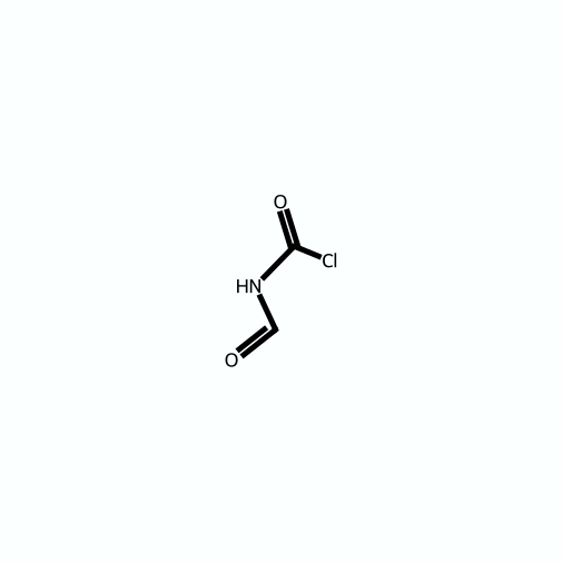 O=CNC(=O)Cl